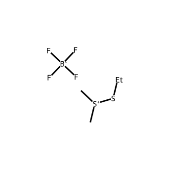 CCS[S+](C)C.F[B-](F)(F)F